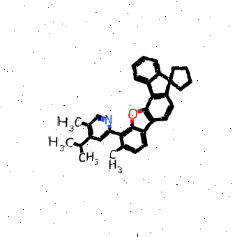 Cc1cnc(-c2c(C)ccc3c2oc2c4c(ccc23)C2(CCCC2)c2ccccc2-4)cc1C(C)C